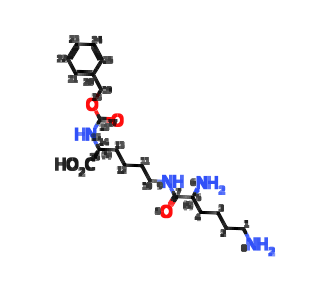 NCCCC[C@H](N)C(=O)NCCCC[C@H](NC(=O)OCc1ccccc1)C(=O)O